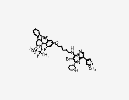 C[C@@H]1Cc2c([nH]c3ccccc23)[C@@H](c2c(F)cc(OCCCCCNc3c(Br)c([C@@H]4CCCNC4)nc4c(-c5cnn(C)c5)cnn34)cc2F)N1CC(C)(C)F